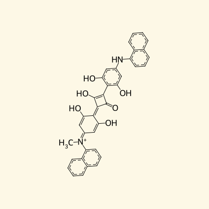 C[N+](=C1C=C(O)C(=C2C(=O)C(c3c(O)cc(Nc4cccc5ccccc45)cc3O)=C2O)C(O)=C1)c1cccc2ccccc12